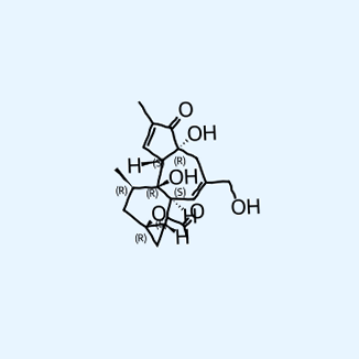 CC(=O)O[C@@]12C[C@@H](C)[C@@]3(O)[C@@H](C=C(CO)C[C@]4(O)C(=O)C(C)=C[C@@H]34)[C@@H]1C2